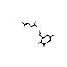 CC(=CCC(C)OCc1cc(I)cc(I)c1I)C(=O)O